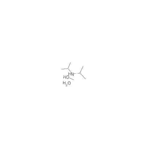 CC(C)NC(C)C.CO.O